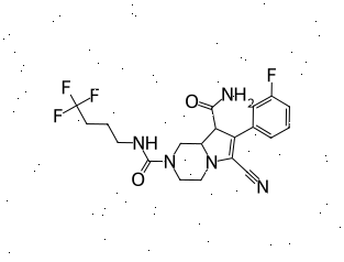 N#CC1=C(c2cccc(F)c2)C(C(N)=O)C2CN(C(=O)NCCCC(F)(F)F)CCN12